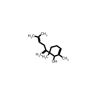 C=C(CC=C(C)C)C1(C)CCC=C(C)C1O